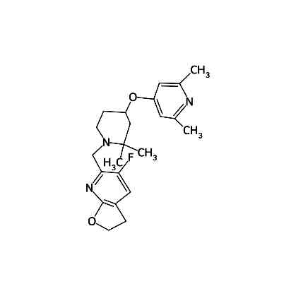 Cc1cc(OC2CCN(Cc3nc4c(cc3F)CCO4)C(C)(C)C2)cc(C)n1